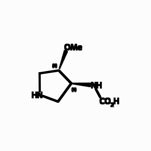 CO[C@H]1CNC[C@@H]1NC(=O)O